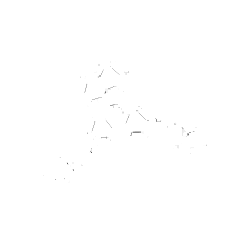 O=C(c1ccc(OCCN2CCCCC2)cc1-c1ccc(OCCN2CCCC2)cc1)c1cccc2ccccc12